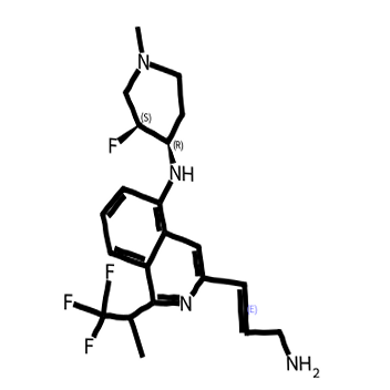 CC(c1nc(/C=C/CN)cc2c(N[C@@H]3CCN(C)C[C@@H]3F)cccc12)C(F)(F)F